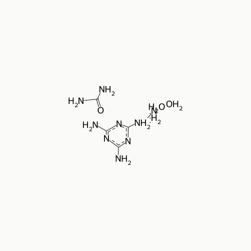 NC(N)=O.Nc1nc(N)nc(N)n1.O.O.[C]N